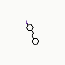 IC1CCC(CCC2CCCCC2)CC1